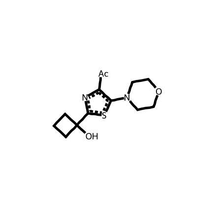 CC(=O)c1nc(C2(O)CCC2)sc1N1CCOCC1